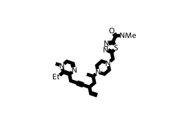 C=CC(C#CCC1=C(CC)N(C)CC=N1)CC(C)N1CCN(Cc2nnc(C(=O)NC)s2)CC1